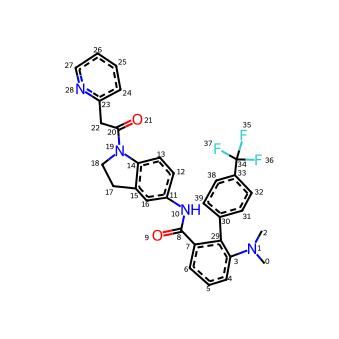 CN(C)c1cccc(C(=O)Nc2ccc3c(c2)CCN3C(=O)Cc2ccccn2)c1-c1ccc(C(F)(F)F)cc1